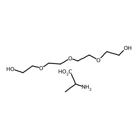 CC(N)C(=O)O.OCCOCCOCCOCCO